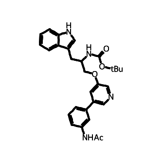 CC(=O)Nc1cccc(-c2cncc(OCC(Cc3c[nH]c4ccccc34)NC(=O)OC(C)(C)C)c2)c1